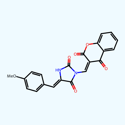 COc1ccc(/C=C2\NC(=O)N(/C=C3\C(=O)Oc4ccccc4C3=O)C2=O)cc1